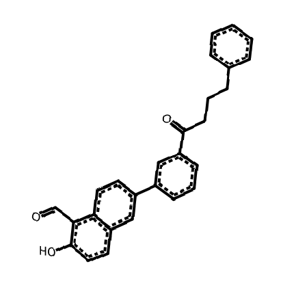 O=Cc1c(O)ccc2cc(-c3cccc(C(=O)CCCc4ccccc4)c3)ccc12